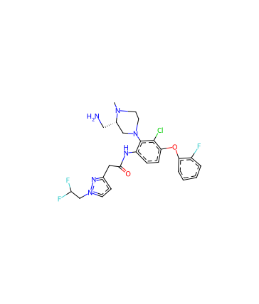 CN1CCN(c2c(NC(=O)Cc3ccn(CC(F)F)n3)ccc(Oc3ccccc3F)c2Cl)C[C@@H]1CN